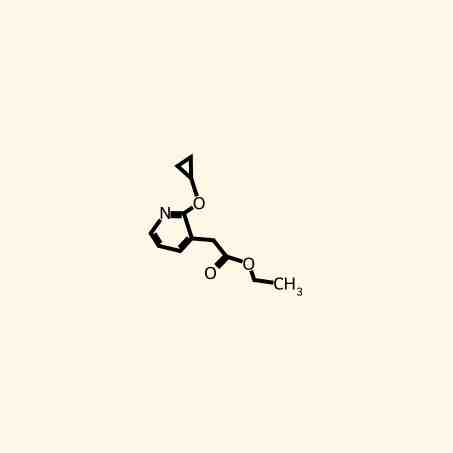 CCOC(=O)Cc1cccnc1OC1CC1